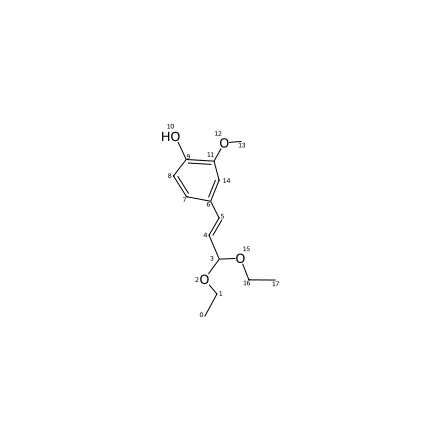 CCOC(C=Cc1ccc(O)c(OC)c1)OCC